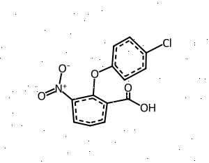 O=C(O)c1cccc([N+](=O)[O-])c1Oc1ccc(Cl)cc1